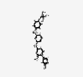 COc1cc(Nc2c[c]cc(Nc3ccc(OC(F)(F)F)cc3)n2)ccc1-n1cnc(C)c1